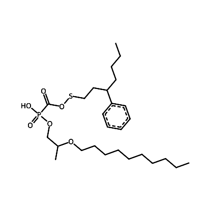 CCCCCCCCCCOC(C)COP(=O)(O)C(=O)OSCCC(CCCC)c1ccccc1